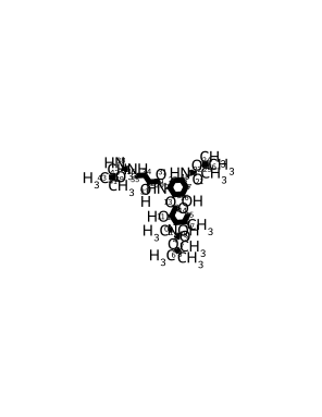 CN(C(=O)OC(C)(C)C)[C@@H]1[C@@H](O)[C@@H](O[C@@H]2[C@@H](O)C[C@@H](NC(=O)OC(C)(C)C)C[C@H]2NC(=O)[C@@H](O)CCNC(=N)OC(C)(C)C)OC[C@]1(C)O